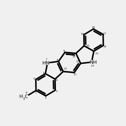 Cc1ccc2c(c1)[nH]c1cc3c(cc12)[nH]c1ccccc13